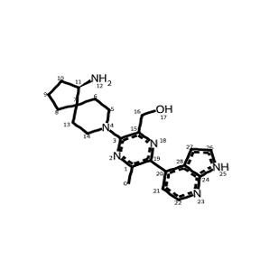 Cc1nc(N2CCC3(CCC[C@H]3N)CC2)c(CO)nc1-c1ccnc2[nH]ccc12